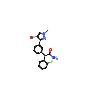 Cn1cc(Br)c(-c2cccc(C(C(N)=O)c3ccccc3F)c2)n1